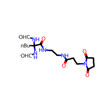 CCCCC(N[C]=O)(N[C]=O)C(=O)NCCNC(=O)CCN1C(=O)CCC1=O